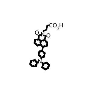 O=C(O)CCCN1C(=O)c2cccc3c(-c4ccc(N(c5ccccc5)c5ccccc5)cc4)ccc(c23)C1=O